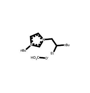 CCCCC(CC)Cn1cc[n+](CCCC)c1.O=C([O-])O